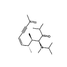 C=C(C)C#C/C=C\[C@@H](C)[C@@H](C)[C@@H](C(=O)C(C)C)N(C)C(C)C